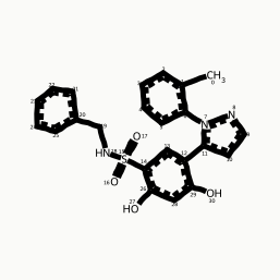 Cc1ccccc1-n1nccc1-c1cc(S(=O)(=O)NCc2ccccc2)c(O)cc1O